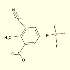 Cc1c([N+]#N)cccc1[N+](=O)[O-].F[B-](F)(F)F